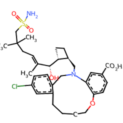 C/C(=C\CC(C)(C)CS(N)(=O)=O)[C@@H](O)[C@@H]1CC[C@H]1CN1Cc2ccc(Cl)cc2CCCCOc2ccc(C(=O)O)cc21